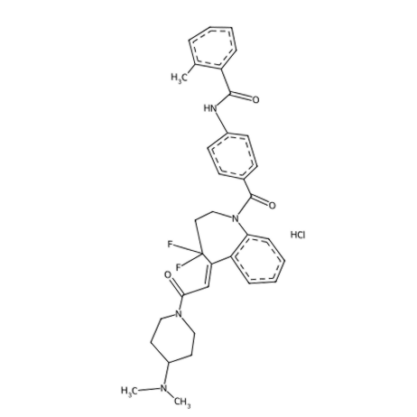 Cc1ccccc1C(=O)Nc1ccc(C(=O)N2CCC(F)(F)C(=CC(=O)N3CCC(N(C)C)CC3)c3ccccc32)cc1.Cl